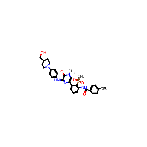 Cn1cc(-c2cccc(NC(=O)c3ccc(C(C)(C)C)cc3)c2S(C)(=O)=O)nc(Nc2ccc(N3CCC(CO)CC3)cc2)c1=O